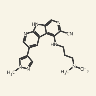 CN(C)CCCNc1c(C#N)ncc2[nH]c3ncc(-c4cnn(C)c4)cc3c12